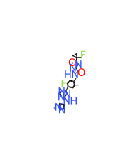 Cc1cc(-c2ncnc(Nc3cnn(C)c3)n2)c(F)cc1CNC(=O)c1noc(C2(CF)CC2)n1